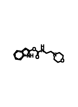 O=C(NCCN1CCOCC1)Oc1cc2ccccc2[nH]1